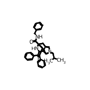 CC(C)CN1CC2CC3(C(=O)NCc4ccccc4)NC(C(=O)c4ccccc4)C2C1C3Cc1ccccc1